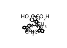 CN(CC(CCN1CCC(c2ccccc2[S+](C)[O-])CC1)c1ccc(Cl)c(Cl)c1)C(=O)c1cc(C#N)cc2ccccc12.O=C(O)/C=C/C(=O)O